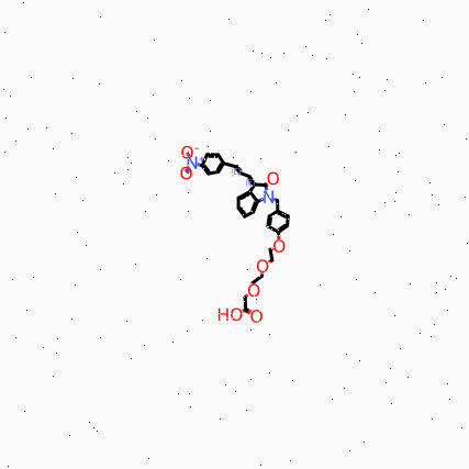 O=C(O)COCCOCCOc1ccc(CN2C(=O)/C(=C/C=C/c3ccc([N+](=O)[O-])cc3)c3ccccc32)cc1